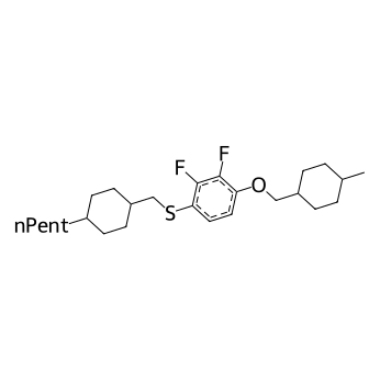 CCCCCC1CCC(CSc2ccc(OCC3CCC(C)CC3)c(F)c2F)CC1